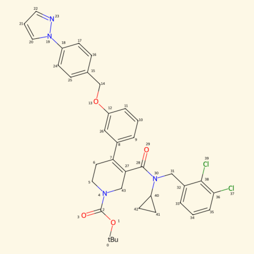 CC(C)(C)OC(=O)N1CCC(c2cccc(OCc3ccc(-n4cccn4)cc3)c2)=C(C(=O)N(Cc2cccc(Cl)c2Cl)C2CC2)C1